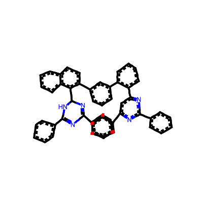 c1ccc(C2=NC(c3c(-c4cccc(-c5ccccc5-c5cc(-c6ccccc6)nc(-c6ccccc6)n5)c4)ccc4ccccc34)NC(c3ccccc3)=N2)cc1